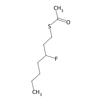 CCCCC(F)CCSC(C)=O